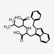 CC(C)CC(NC(Cc1c2ccccc2cn1Cc1ccccc1)C(=O)O)C(=O)O